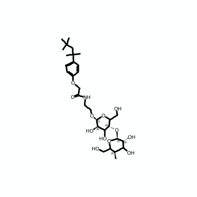 C[C@H]1C(CO)O[C@@H](O[C@H]2C(CO)O[C@H](OCCNC(=O)COc3ccc(C(C)(C)CC(C)(C)C)cc3)[C@H](O)C2O)[C@H](O)C1O